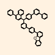 c1ccc(-c2cccc(-c3ccc(C(c4cccc(-c5ccc(-c6cccc7c6oc6ccccc67)cc5)c4)c4ccc(-c5ccccc5)c5ccccc45)cc3)c2)cc1